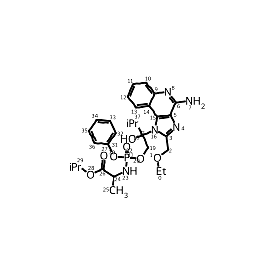 CCOCc1nc2c(N)nc3ccccc3c2n1C(O)(COP(=O)(N[C@@H](C)C(=O)OC(C)C)Oc1ccccc1)C(C)C